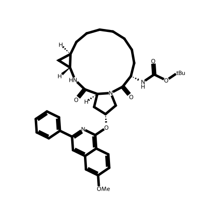 COc1ccc2c(O[C@@H]3C[C@H]4C(=O)N[C@@H]5C[C@H]5CCCCCCC[C@H](NC(=O)OC(C)(C)C)C(=O)N4C3)nc(-c3ccccc3)cc2c1